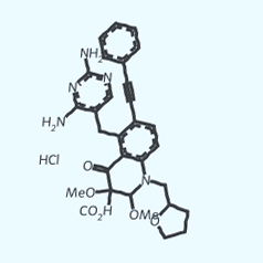 COC1N(CC2CCCO2)c2ccc(C#Cc3ccccc3)c(Cc3cnc(N)nc3N)c2C(=O)C1(OC)C(=O)O.Cl